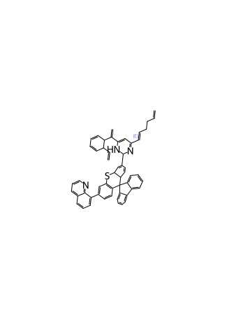 C=CCC/C=C/C1=NC(C2=CC3Sc4cc(-c5cccc6cccnc56)ccc4C4(c5ccccc5-c5ccccc54)C3C=C2)NC(C(=C)C2C=CC=CC2C=C)=C1